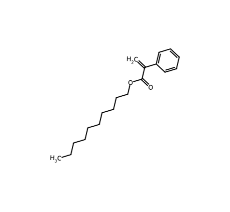 C=C(C(=O)OCCCCCCCCCC)c1ccccc1